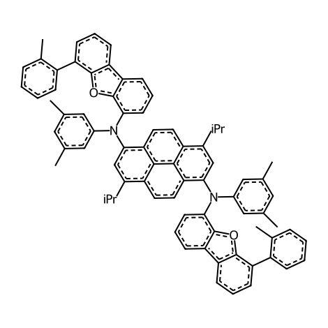 Cc1cc(C)cc(N(c2cc(C(C)C)c3ccc4c(N(c5cc(C)cc(C)c5)c5cccc6c5oc5c(-c7ccccc7C)cccc56)cc(C(C)C)c5ccc2c3c54)c2cccc3c2oc2c(-c4ccccc4C)cccc23)c1